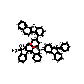 CC1(C)c2ccccc2-c2c(-c3ccccc3N(c3cccc(-c4cccc5oc6c7ccccc7ccc6c45)c3)c3ccc4c(c3)-c3ccccc3C4(C)c3ccccc3)cccc21